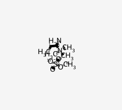 CCC(N)[N+](C)(C)C.COS(=O)(=O)[O-]